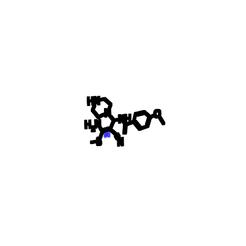 C=C(NC(/C(C#N)=C(\N)SC)N1CCNCC1)c1ccc(OC)cc1